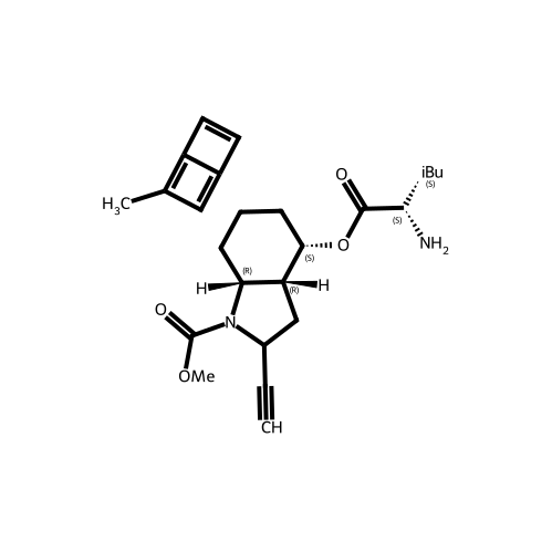 C#CC1C[C@H]2[C@@H](OC(=O)[C@@H](N)[C@@H](C)CC)CCC[C@H]2N1C(=O)OC.Cc1cc2ccc1-2